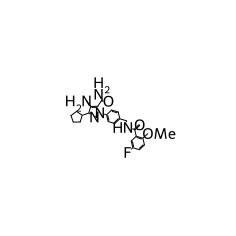 COc1ccc(F)cc1C(=O)NCc1ccc(-n2nc(C3CCCC3)c(N)c2C(N)=O)cc1